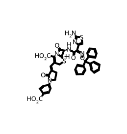 Nc1nc(/C(=N/OC(c2ccccc2)(c2ccccc2)c2ccccc2)C(=O)N[C@@H]2C(=O)N3C(C(=O)O)=C(/C=C4\CCN(c5ccc(C(=O)O)cc5)C4=O)CS[C@H]23)cs1